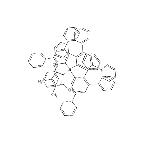 CC1=C(C)C(C)C([Si](c2cc(-c3ccccc3)cc(-c3ccccc3)c2-c2ccccc2)(c2cc(-c3ccccc3)cc(-c3ccccc3)c2-c2ccccc2)c2cc(-c3ccccc3)cc(-c3ccccc3)c2-c2ccccc2)=C1C